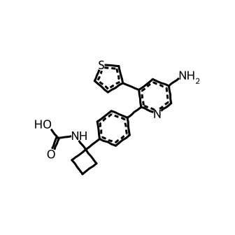 Nc1cnc(-c2ccc(C3(NC(=O)O)CCC3)cc2)c(-c2ccsc2)c1